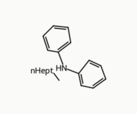 CCCCCCCC.c1ccc(Nc2ccccc2)cc1